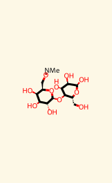 CNOC[C@H]1O[C@@H](O[C@H]2[C@H](O)[C@@H](O)[C@@H](O)O[C@@H]2CO)[C@H](O)[C@@H](O)[C@H]1O